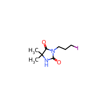 CC1(C)NC(=O)N(CCCI)C1=O